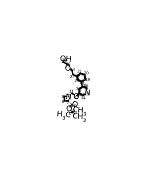 CC(C)(C)OC(=O)[C@@H]1CCN1COc1cncc(-c2cccc(CCOCCO)c2)c1